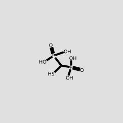 O=P(O)(O)C(S)P(=O)(O)O